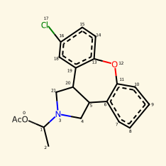 CC(=O)OC(C)N1CC2c3ccccc3Oc3ccc(Cl)cc3C2C1